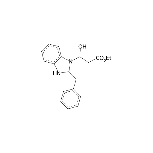 CCOC(=O)CC(O)N1c2ccccc2NC1Cc1ccccc1